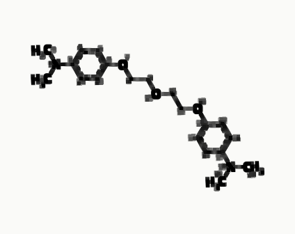 CN(C)c1ccc(OCCOCCOc2ccc(N(C)C)cc2)cc1